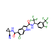 N#CC1(NC(=O)c2cc3cc(C(=O)NC(c4ccc(F)c(C(F)(F)F)c4)C(F)(F)F)[nH]c3cc2Cl)CC1